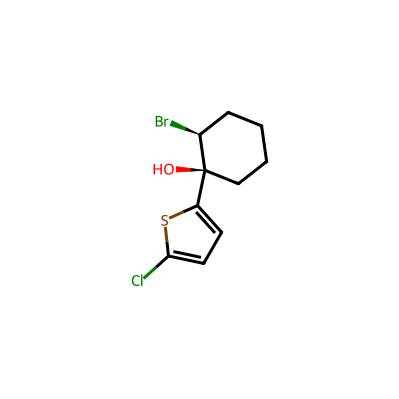 O[C@]1(c2ccc(Cl)s2)CCCC[C@@H]1Br